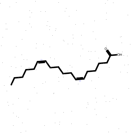 CCCCC/C=C\CCCC/C=C\CCCCC(=O)O